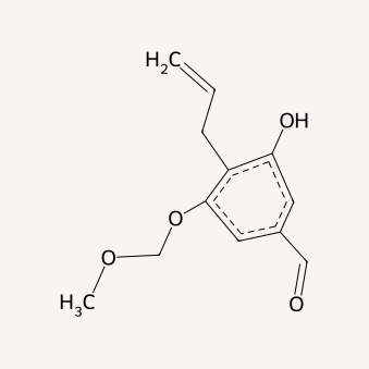 C=CCc1c(O)cc(C=O)cc1OCOC